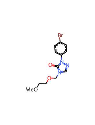 COCCOCn1cnn(-c2ccc(Br)cc2)c1=O